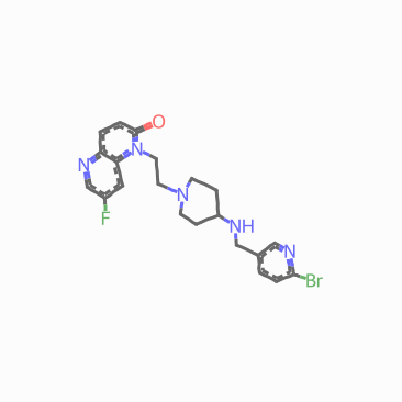 O=c1ccc2ncc(F)cc2n1CCN1CCC(NCc2ccc(Br)nc2)CC1